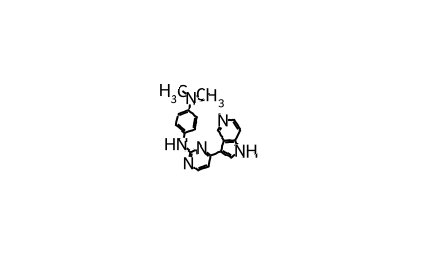 CN(C)c1ccc(Nc2nccc(-c3c[nH]c4ccncc34)n2)cc1